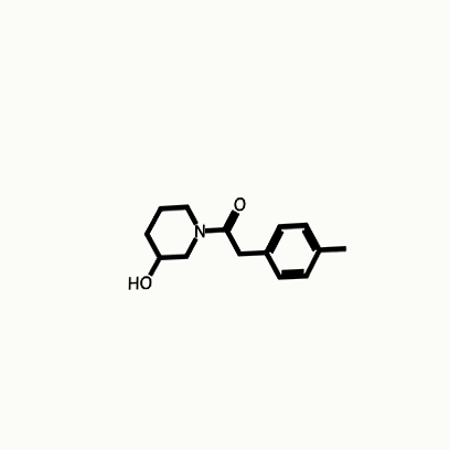 Cc1ccc(CC(=O)N2CCCC(O)C2)cc1